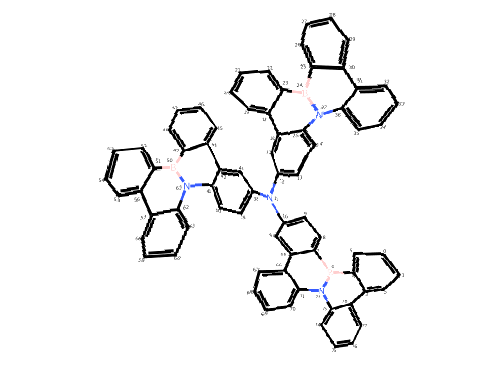 c1ccc2c(c1)B1c3ccc(N(c4ccc5c(c4)-c4ccccc4B4c6ccccc6-c6ccccc6N45)c4ccc5c(c4)-c4ccccc4B4c6ccccc6-c6ccccc6N45)cc3-c3ccccc3N1c1ccccc1-2